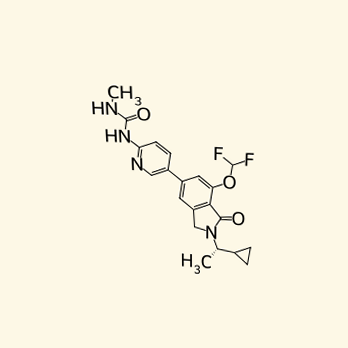 CNC(=O)Nc1ccc(-c2cc3c(c(OC(F)F)c2)C(=O)N([C@@H](C)C2CC2)C3)cn1